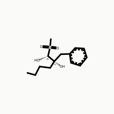 CCCC[C@](O)(Cc1ccccc1)[C@H](O)S(C)(=O)=O